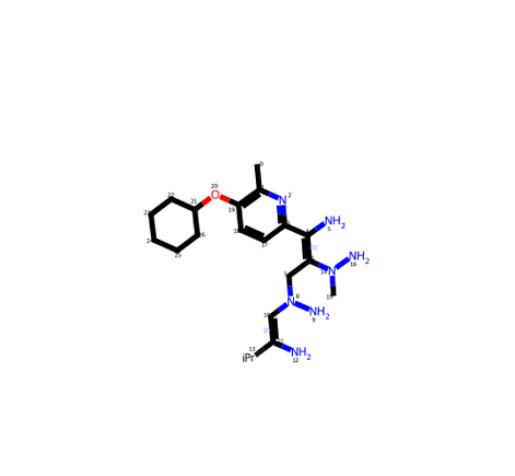 Cc1nc(/C(N)=C(\CN(N)/C=C(\N)C(C)C)N(C)N)ccc1OC1CCCCC1